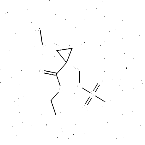 CCOC(=O)[C@]1(COS(C)(=O)=O)C[C@H]1CC